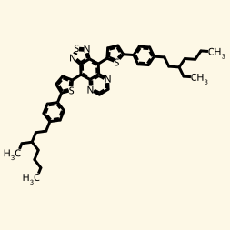 CCCCC(CC)CCc1ccc(-c2ccc(-c3c4nccnc4c(-c4ccc(-c5ccc(CCC(CC)CCCC)cc5)s4)c4nsnc34)s2)cc1